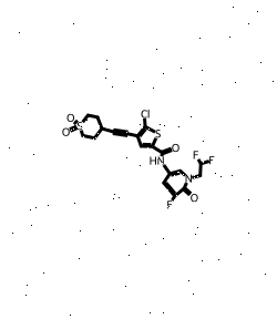 O=C(Nc1cc(F)c(=O)n(CC(F)F)c1)c1cc(C#CC2CCS(=O)(=O)CC2)c(Cl)s1